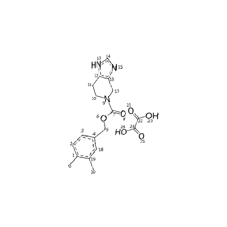 Cc1ccc(COC(=O)N2CCc3[nH]cnc3C2)cc1C.O=C(O)C(=O)O